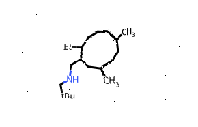 CCC1CCCC(C)CCC(C)CC1CNCC(C)(C)C